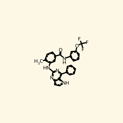 Cc1ccc(C(=O)Nc2cccc(OC(F)(F)F)c2)cc1Nc1nc(-c2ccccc2)c2[nH]ccc2n1